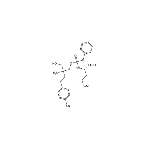 CCOC(=O)[C@H](CCSC)NP(=O)(OCC(N)(CO)CCc1ccc(C#N)cc1)Oc1ccccc1